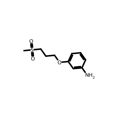 CS(=O)(=O)CCCOc1cccc(N)c1